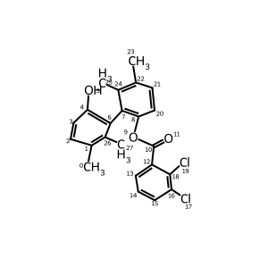 Cc1ccc(O)c(-c2c(OC(=O)c3cccc(Cl)c3Cl)ccc(C)c2C)c1C